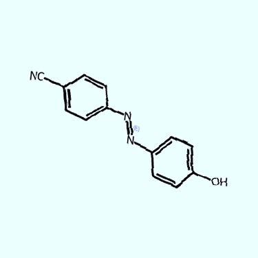 N#Cc1ccc(/N=N/c2ccc(O)cc2)cc1